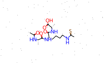 CC(=O)N[C@@H](C)C(=O)N[C@@H](CCCCNC(C)=S)C(=O)N[C@@H](C)C(=O)O